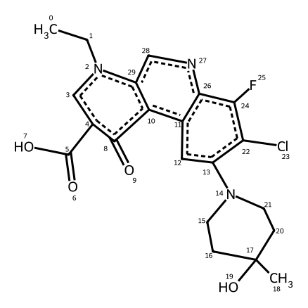 CCn1cc(C(=O)O)c(=O)c2c3cc(N4CCC(C)(O)CC4)c(Cl)c(F)c3ncc21